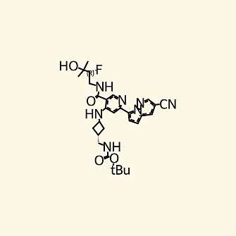 CC(C)(C)OC(=O)NC[C@H]1C[C@H](Nc2cc(-c3ccc4cc(C#N)cnn34)ncc2C(=O)NC[C@@H](F)C(C)(C)O)C1